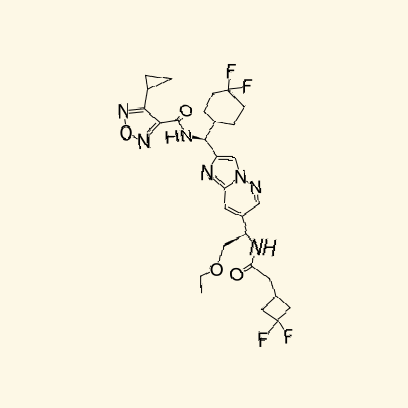 CCOC[C@H](NC(=O)CC1CC(F)(F)C1)c1cnn2cc([C@@H](NC(=O)c3nonc3C3CC3)C3CCC(F)(F)CC3)nc2c1